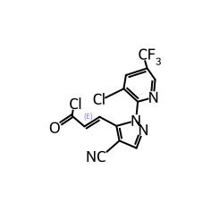 N#Cc1cnn(-c2ncc(C(F)(F)F)cc2Cl)c1/C=C/C(=O)Cl